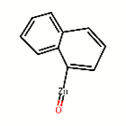 [O]=[Zn][c]1cccc2ccccc12